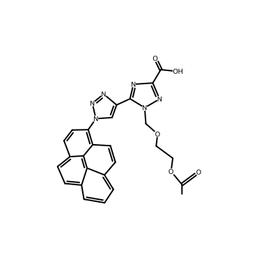 CC(=O)OCCOCn1nc(C(=O)O)nc1-c1cn(-c2ccc3ccc4cccc5ccc2c3c45)nn1